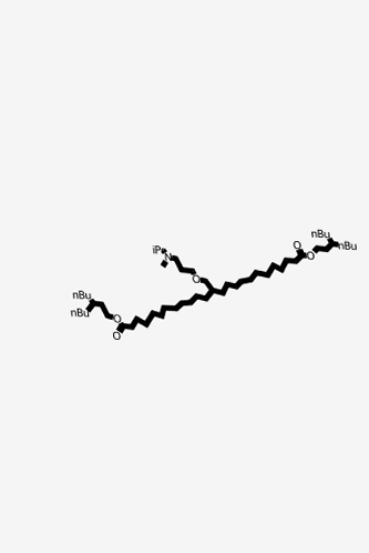 CCCCC(CCCC)CCOC(=O)CCCCCCCCCCCC(CCCCCCCCCCCC(=O)OCCC(CCCC)CCCC)COCCCN(C)C(C)C